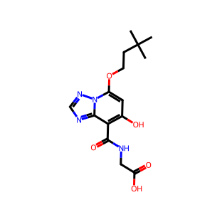 CC(C)(C)CCOc1cc(O)c(C(=O)NCC(=O)O)c2ncnn12